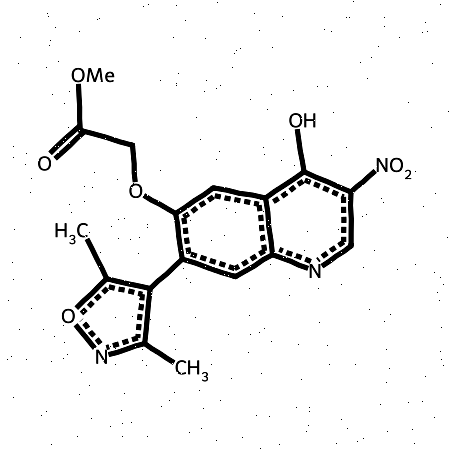 COC(=O)COc1cc2c(O)c([N+](=O)[O-])cnc2cc1-c1c(C)noc1C